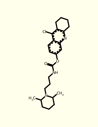 CC1CCCC(C)N1CCCNC(=O)Oc1ccc2c(Cl)c3c(nc2c1)CCCC3